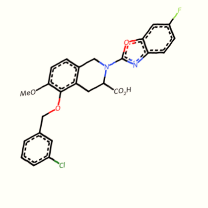 COc1ccc2c(c1OCc1cccc(Cl)c1)CC(C(=O)O)N(c1nc3ccc(F)cc3o1)C2